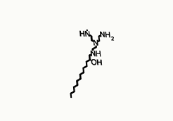 CCCCCCCCCCCCC(O)CNCCN(CCN)CCNC